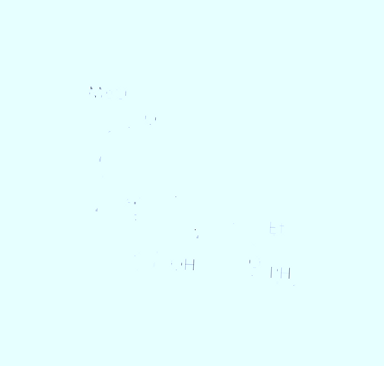 CC[C@@H](CCC(C)(C)C1CC[C@@]2(C)C(CCC2[C@H](C)CCC(=O)OC)C1[C@H](O)CC)OP